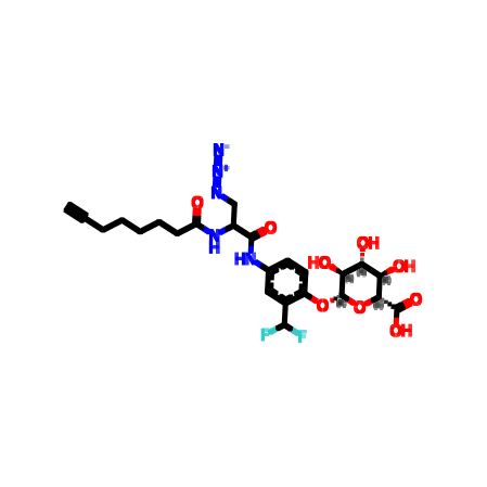 C#CCCCCCC(=O)NC(CN=[N+]=[N-])C(=O)Nc1ccc(O[C@H]2O[C@@H](C(=O)O)[C@H](O)[C@@H](O)[C@@H]2O)c(C(F)F)c1